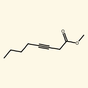 CCCCC#CCC(=O)OC